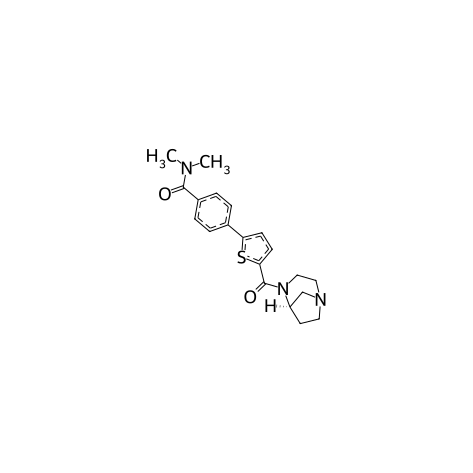 CN(C)C(=O)c1ccc(-c2ccc(C(=O)N3CCN4CC[C@@H]3C4)s2)cc1